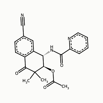 CC(=O)O[C@@H]1[C@@H](NC(=O)c2ccccn2)c2cc(C#N)ccc2C(=O)C1(C)C